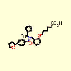 [2H]C(c1ccccc1)N(Cc1ccccc1OCCCCCC(=O)O)C(=O)c1ccc(-c2ccco2)cc1